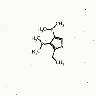 CCc1scc(P(C)C)c1P(C)C